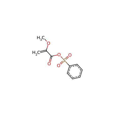 C=C(OC)C(=O)OS(=O)(=O)c1ccccc1